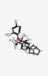 Cc1cc(F)ccc1OC(C)(C)C(=O)NC1CC2CCC(C1)N2c1ccc(S(C)(=O)=O)cn1